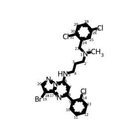 CN(CCCNc1cc(-c2ccccc2Cl)nc2c(Br)cnn12)Cc1cc(Cl)ccc1Cl